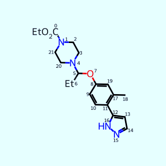 CCOC(=O)N1CCN(C(CC)Oc2ccc(-c3ccn[nH]3)c(C)c2)CC1